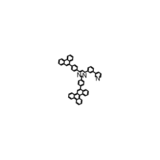 c1cncc(-c2cccc(-c3cc(-c4ccc(-c5cc6ccccc6c6ccccc56)cc4)nc(-c4ccc(-c5cc6c7ccccc7c7ccccc7c6c6ccccc56)cc4)n3)c2)c1